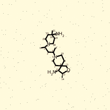 CC(CC(C)N1CCC2(CC1)CO[C@@H](C)[C@H]2N)N1CCC(C)(N)CC1